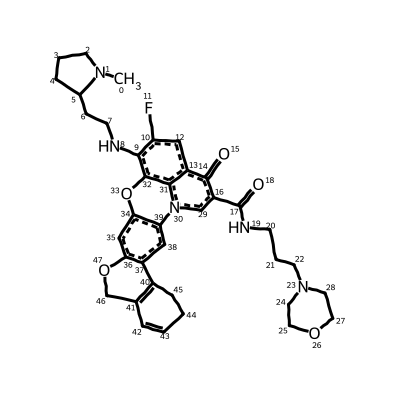 CN1CCCC1CCNc1c(F)cc2c(=O)c(C(=O)NCCCN3CCOCC3)cn3c2c1Oc1cc2c(cc1-3)C1=C(C=CCC1)CO2